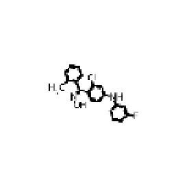 Cc1ccccc1C(=NO)c1ccc(Nc2cccc(F)c2)cc1Cl